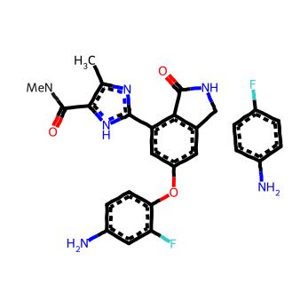 CNC(=O)c1[nH]c(-c2cc(Oc3ccc(N)cc3F)cc3c2C(=O)NC3)nc1C.Nc1ccc(F)cc1